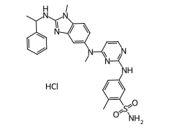 Cc1ccc(Nc2nccc(N(C)c3ccc4c(c3)nc(NC(C)c3ccccc3)n4C)n2)cc1S(N)(=O)=O.Cl